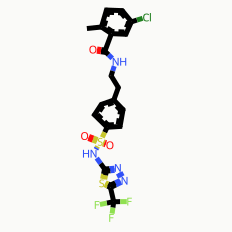 Cc1ccc(Cl)cc1C(=O)NCCc1ccc(S(=O)(=O)Nc2nnc(C(F)(F)F)s2)cc1